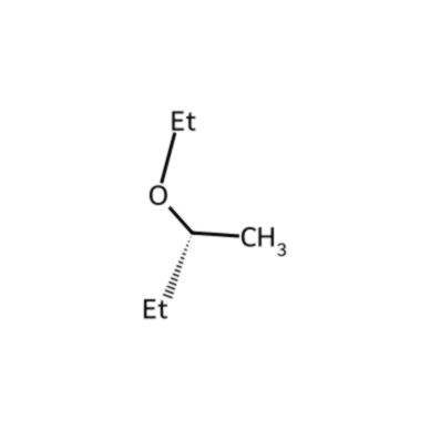 [CH2]C[C@@H](C)OCC